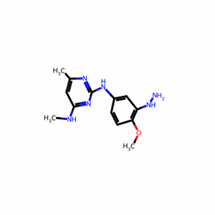 CNc1cc(C)nc(Nc2ccc(OC)c(NN)c2)n1